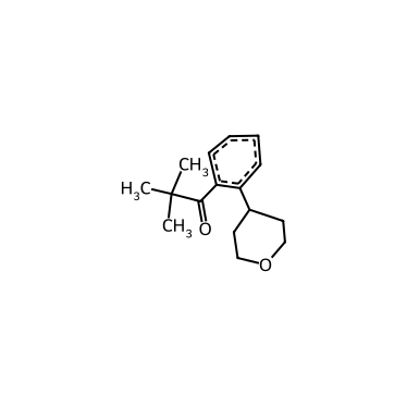 CC(C)(C)C(=O)c1ccccc1C1CCOCC1